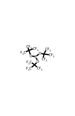 FC(F)(F)C(OB(OC(C(F)(F)F)(C(F)(F)F)C(F)(F)F)OC(C(F)(F)F)(C(F)(F)F)C(F)(F)F)(C(F)(F)F)C(F)(F)F